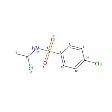 CC(Cl)NS(=O)(=O)c1ccc(Cl)cc1